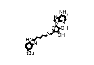 CC(C)(C)c1ccc2[nH]c(CCCCSC[C@H]3O[C@@H](n4cnc5c(N)ccnc54)[C@H](O)[C@@H]3O)nc2c1